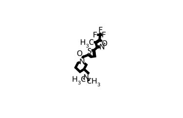 Cc1c(-c2ccc(C(=O)N3CCCC(CN(C)C)C3)s2)noc1C(F)(F)F